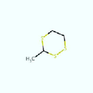 CC1SCCSS1